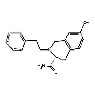 NC(=O)[C@H]1Cc2ccc(O)cc2CN1CCc1ccccc1